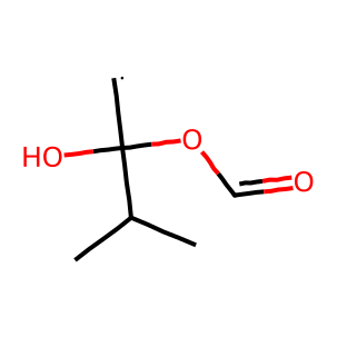 [CH2]C(O)(OC=O)C(C)C